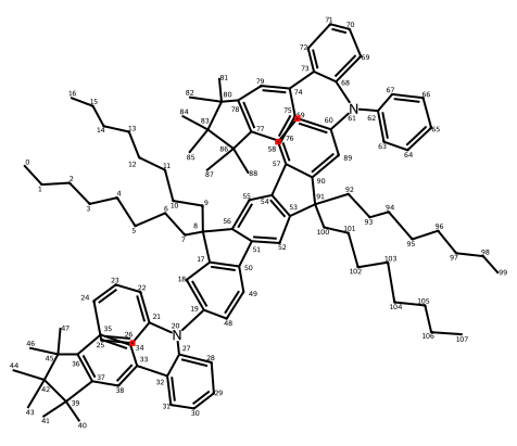 CCCCCCCCC1(CCCCCCCC)c2cc(N(c3ccccc3)c3ccccc3-c3ccc4c(c3)C(C)(C)C(C)(C)C4(C)C)ccc2-c2cc3c(cc21)-c1ccc(N(c2ccccc2)c2ccccc2-c2ccc4c(c2)C(C)(C)C(C)(C)C4(C)C)cc1C3(CCCCCCCC)CCCCCCCC